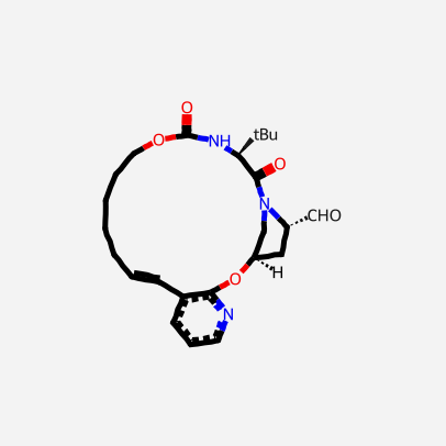 CC(C)(C)[C@@H]1NC(=O)OCCCCC/C=C/c2cccnc2O[C@@H]2C[C@@H](C=O)N(C2)C1=O